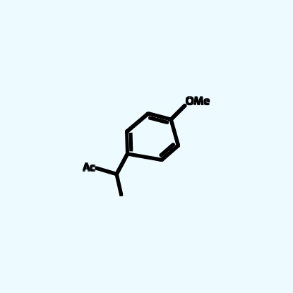 COc1ccc(C(C)C(C)=O)cc1